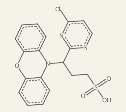 O=S(=O)(O)CCC(c1nccc(Cl)n1)N1c2ccccc2Oc2ccccc21